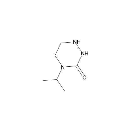 CC(C)N1CCNNC1=O